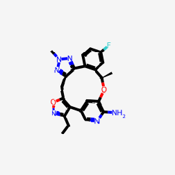 CCc1noc2c1-c1cnc(N)c(c1)O[C@H](C)c1cc(F)ccc1-c1nn(C)nc1C2